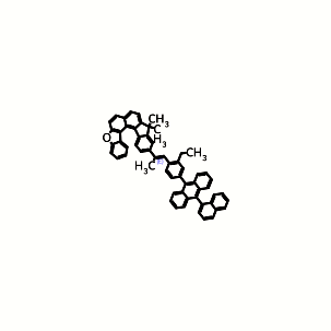 CCc1cc(-c2c3ccccc3c(-c3cccc4ccccc34)c3ccccc23)ccc1/C=C(\C)c1ccc2c(c1)C(C)(C)c1ccc3ccc4oc5ccccc5c4c3c1-2